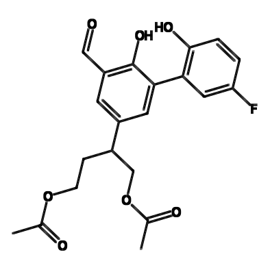 CC(=O)OCCC(COC(C)=O)c1cc(C=O)c(O)c(-c2cc(F)ccc2O)c1